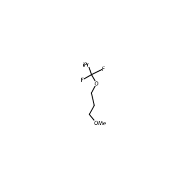 COCCCOC(F)(F)C(C)C